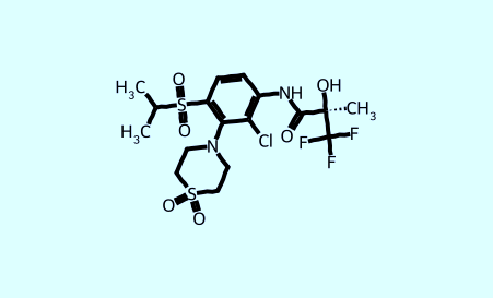 CC(C)S(=O)(=O)c1ccc(NC(=O)[C@@](C)(O)C(F)(F)F)c(Cl)c1N1CCS(=O)(=O)CC1